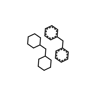 C1CCC(CC2CCCCC2)CC1.c1ccc(Cc2ccccc2)cc1